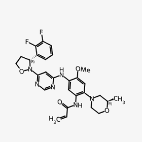 C=CC(=O)Nc1cc(Nc2cc(N3OCC[C@@H]3c3cccc(F)c3F)ncn2)c(OC)cc1N1CCO[C@H](C)C1